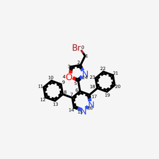 BrCc1coc(-c2c(-c3ccccc3)cnnc2-c2ccccc2)n1